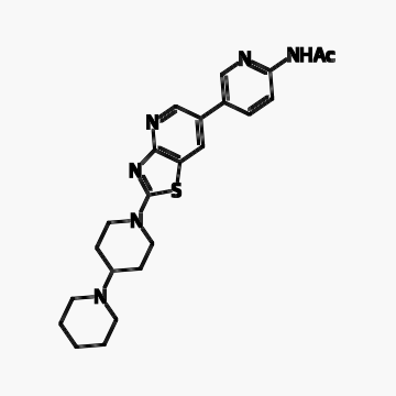 CC(=O)Nc1ccc(-c2cnc3nc(N4CCC(N5CCCCC5)CC4)sc3c2)cn1